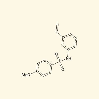 [CH]=Cc1cccc(NS(=O)(=O)c2ccc(OC)cc2)c1